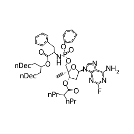 C#C[C@]1(CO[P@@](=O)(NC(Cc2ccccc2)C(=O)OC(CCCCCCCCCCC)CCCCCCCCCCC)Oc2ccccc2)O[C@@H](n2cnc3c(N)nc(F)nc32)C[C@@H]1OC(=O)C(CCC)CCC